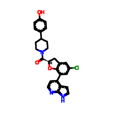 O=C([C@@H]1Cc2cc(Cl)cc(-c3ccnc4[nH]ccc34)c2O1)N1CCC(c2ccc(O)cc2)CC1